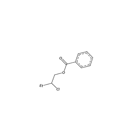 CCC(Cl)COC(=O)c1ccccc1